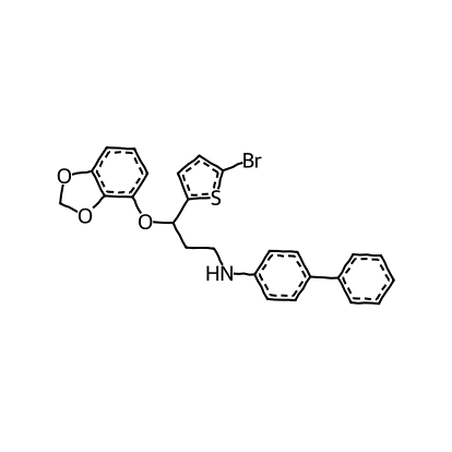 Brc1ccc(C(CCNc2ccc(-c3ccccc3)cc2)Oc2cccc3c2OCO3)s1